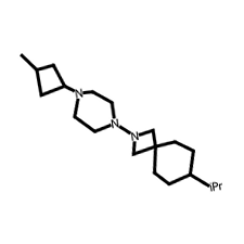 CC1CC(N2CCN(N3CC4(CCC(C(C)C)CC4)C3)CC2)C1